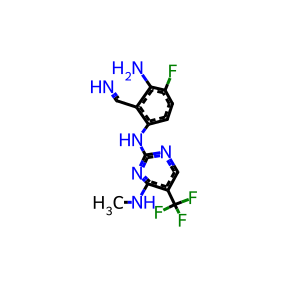 CNc1nc(Nc2ccc(F)c(N)c2C=N)ncc1C(F)(F)F